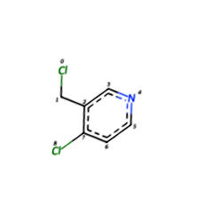 ClCc1cnccc1Cl